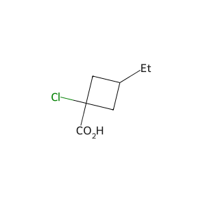 CCC1CC(Cl)(C(=O)O)C1